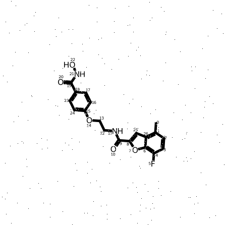 Cc1ccc(F)c2oc(C(=O)NCCOc3ccc(C(=O)NO)cc3)cc12